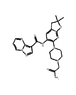 CC1(C)Cc2cc(NC(=O)c3cnn4cccnc34)c(N3CCN(CC(N)=O)CC3)nc2O1